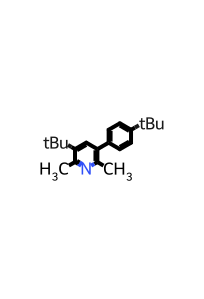 Cc1nc(C)c(C(C)(C)C)cc1-c1ccc(C(C)(C)C)cc1